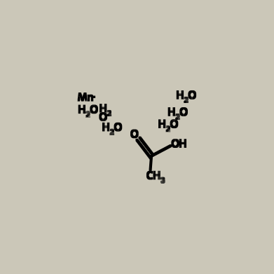 CC(=O)O.O.O.O.O.O.O.[Mn]